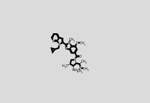 COc1cc(C(=O)N2C[C@@H](C)[C@@H](N)[C@H]2[C@H](C)N(C)C)cc2nc(-c3cc4cccnc4n3CC3CC3)n(C)c12